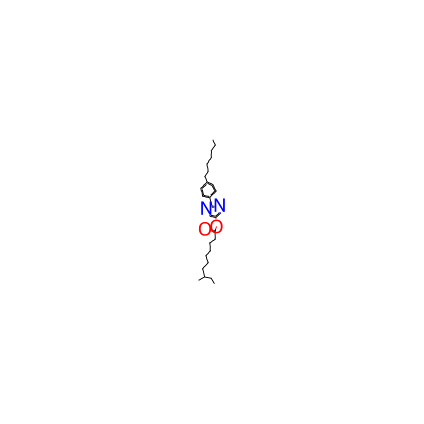 CCCCCCCc1ccc(-c2ncc(OC(=O)CCCCCCC(C)CC)cn2)cc1